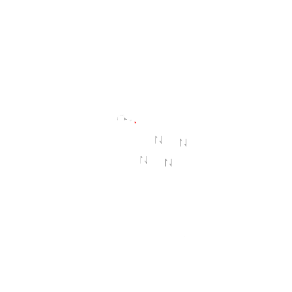 c1ccc(-c2cccc(-c3nc(-c4ccccc4)nc(-n4c5ccccc5c5cccc(-c6ccc7oc8cc(-c9ccccc9)ccc8c7c6)c54)n3)c2)cc1